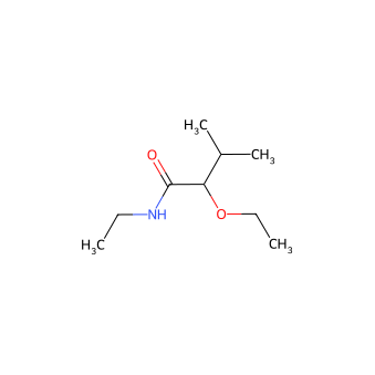 CCNC(=O)C(OCC)C(C)C